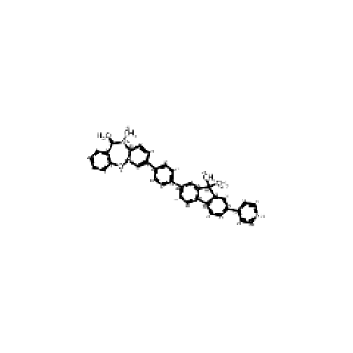 C=C1c2ccccc2ON2C=C(c3ccc(-c4ccc5c(c4)C(C)(C)c4cc(-c6ccncc6)ccc4-5)cc3)C=CC2N1C